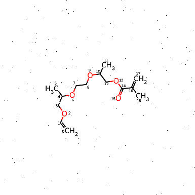 C=COCC(C)OCCOC(C)COC(=O)C(=C)C